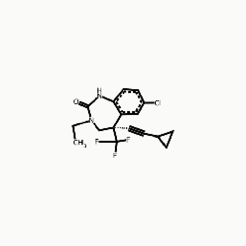 CCN1C[C@](C#CC2CC2)(C(F)(F)F)c2cc(Cl)ccc2NC1=O